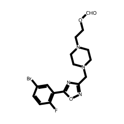 O=COCCN1CCN(Cc2noc(-c3cc(Br)ccc3F)n2)CC1